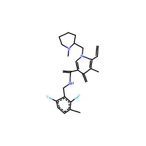 C=CC1=C(C)C(=C)C(C(=C)NCc2c(F)ccc(C)c2F)=CN1CC1CCCCN1C